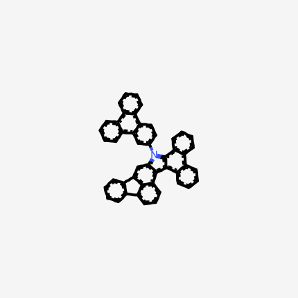 c1ccc2c(c1)-c1cccc3c1c-2cc1c3c2c3ccccc3c3ccccc3c2n1-c1ccc2c3ccccc3c3ccccc3c2c1